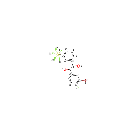 O=C(C(=O)c1ccc(F)c(Br)c1)c1cccc(S(F)(F)(F)(F)F)c1